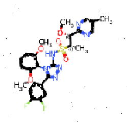 COc1cccc(OC)c1-n1c(NS(=O)(=O)[C@@H](C)[C@H](OC)c2ncc(C)cn2)nnc1-c1ccc(F)c(F)c1